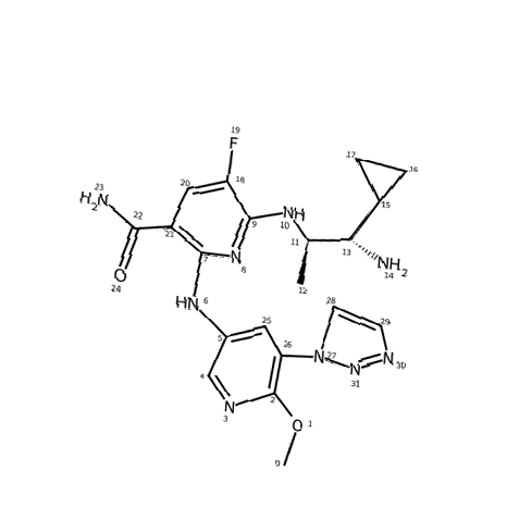 COc1ncc(Nc2nc(N[C@H](C)[C@@H](N)C3CC3)c(F)cc2C(N)=O)cc1-n1ccnn1